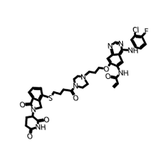 C=CC(=O)Nc1cc2c(Nc3ccc(F)c(Cl)c3)ncnc2cc1OCCCN1CCN(C(=O)CCCSc2cccc3c2CN(C2CCC(=O)NC2=O)C3=O)CC1